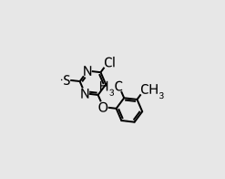 Cc1cccc(Oc2cc(Cl)nc([S])n2)c1C